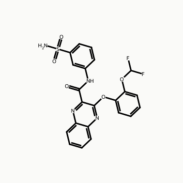 NS(=O)(=O)c1cccc(NC(=O)c2nc3ccccc3nc2Oc2ccccc2OC(F)F)c1